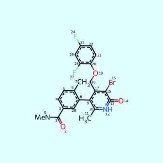 CNC(=O)c1ccc(C)c(-c2c(C)[nH]c(=O)c(Br)c2COc2ccc(F)cc2F)c1